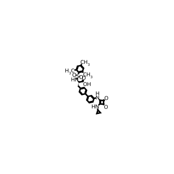 Cc1cc(C)c(S(=O)(=O)N[C@@H](Cc2ccc(-c3cccc(Nc4c(NC5CC5)c(=O)c4=O)c3)cc2)C(=O)O)c(C)c1